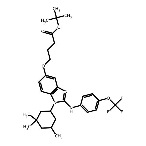 CC1CC(n2c(Nc3ccc(OC(F)(F)F)cc3)nc3cc(OCCCC(=O)OC(C)(C)C)ccc32)CC(C)(C)C1